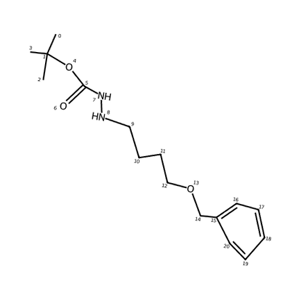 CC(C)(C)OC(=O)NNCCCCOCc1ccccc1